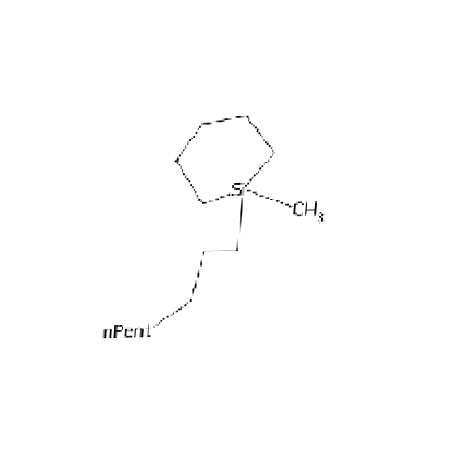 CCCCCCCC[Si]1(C)CCCCC1